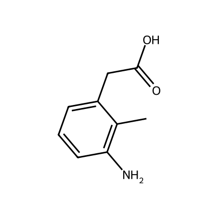 Cc1c(N)cccc1CC(=O)O